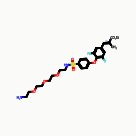 CCOC(=O)/C(C)=C/c1cc(F)c(Oc2ccc(S(=O)(=O)NCCOCCOCCOCCN)cc2)c(F)c1